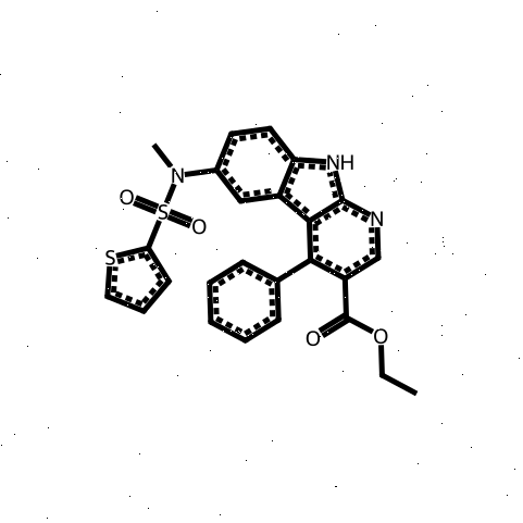 CCOC(=O)c1cnc2[nH]c3ccc(N(C)S(=O)(=O)c4cccs4)cc3c2c1-c1ccccc1